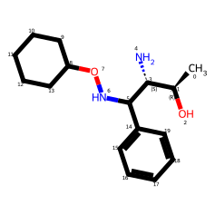 C[C@@H](O)[C@@H](N)C(NOC1CCCCC1)c1ccccc1